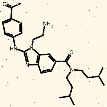 CC(=O)c1ccc(Nc2nc3ccc(C(=O)N(CCC(C)C)CCC(C)C)cc3n2CCN)cc1